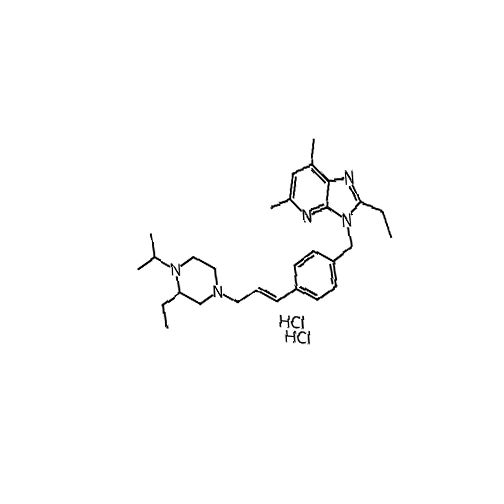 CCc1nc2c(C)cc(C)nc2n1Cc1ccc(C=CCN2CCN(C(C)C)C(CC)C2)cc1.Cl.Cl